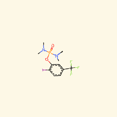 CN(C)P(=O)(Oc1cc(C(F)(F)F)ccc1I)N(C)C